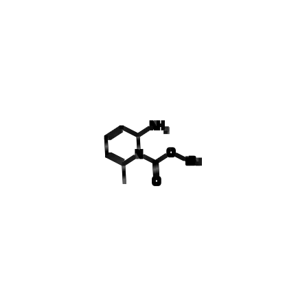 CC1=CC=CC(N)N1C(=O)OC(C)(C)C